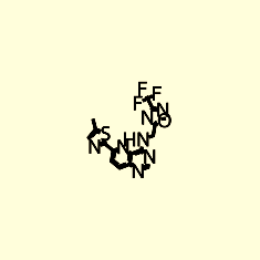 Cc1cnc(-c2ccc3ncnc(NCc4nc(C(F)(F)F)no4)c3n2)s1